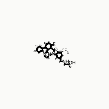 C[C@H](O)CNCc1cc(C(F)(F)F)c2oc(-c3c(F)ccc(-c4ccccc4)c3-c3nncn3C)nc2c1